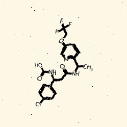 CC(NC(=O)CC(NC(=O)O)c1ccc(Cl)cc1)c1ccc(OCC(F)(F)F)cn1